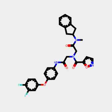 CN(C(=O)CN(CC(=O)Nc1ccc(Oc2ccc(F)c(F)c2)cc1)C(=O)c1ccno1)C1Cc2ccccc2C1